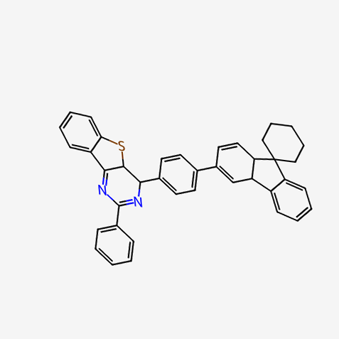 C1=CC2C(C=C1c1ccc(C3N=C(c4ccccc4)N=C4c5ccccc5SC43)cc1)c1ccccc1C21CCCCC1